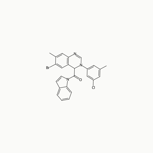 Cc1cc(Cl)cc(N2C=Nc3cc(C)c(Br)cc3C2C(=O)n2ccc3ccccc32)c1